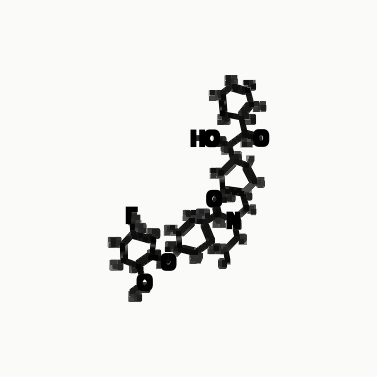 CCCN(Cc1ccc(C(O)C(=O)c2ccccc2)cc1)C(=O)c1ccc(Oc2cc(F)ccc2OC)cc1